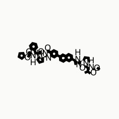 COC(=O)N[C@H](C(=O)N1CCC[C@H]1c1ncc(-c2ccc3cc(-c4ccc5c(=O)[nH]c([C@@H]6CCCN6C(=O)[C@H](NC(=O)OC6CCCC6)c6ccccc6)nc5c4)ccc3c2)[nH]1)C(C)C